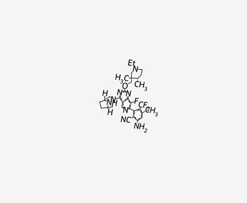 CCN1CC[C@H](C)[C@](C)(COc2nc(N3C[C@H]4CC[C@@H](C3)N4)c3cnc(-c4c(C#N)c(N)cc(C)c4C(F)(F)F)c(F)c3n2)C1